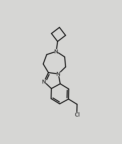 ClCC1=CC2C(C=C1)N=C1CCN(C3CCC3)CCN12